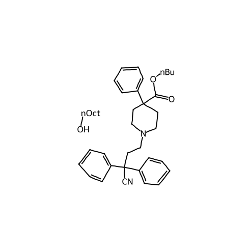 CCCCCCCCO.CCCCOC(=O)C1(c2ccccc2)CCN(CCC(C#N)(c2ccccc2)c2ccccc2)CC1